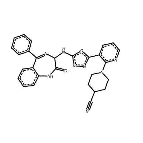 N#CC1CCN(c2ncccc2-c2nnc(NC3N=C(c4ccccc4)c4ccccc4NC3=O)o2)CC1